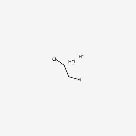 CCCCCl.Cl.[H+]